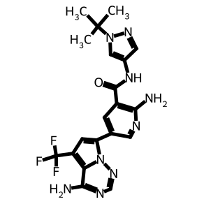 CC(C)(C)n1cc(NC(=O)c2cc(-c3cc(C(F)(F)F)c4c(N)ncnn34)cnc2N)cn1